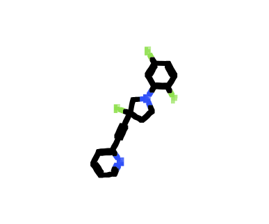 Fc1ccc(F)c(N2CCC(F)(C#Cc3ccccn3)C2)c1